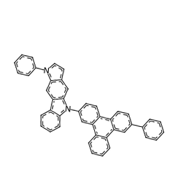 c1ccc(-c2ccc3c4ccc(-n5c6ccccc6c6cc7c(ccn7-c7ccccc7)cc65)cc4c4ccccc4c3c2)cc1